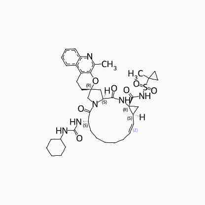 Cc1nc2ccccc2c2c1O[C@]1(CC2)C[C@H]2C(=O)N[C@]3(C(=O)NS(=O)(=O)C4(C)CC4)C[C@H]3/C=C\CCCCC[C@H](NC(=O)NC3CCCCC3)C(=O)N2C1